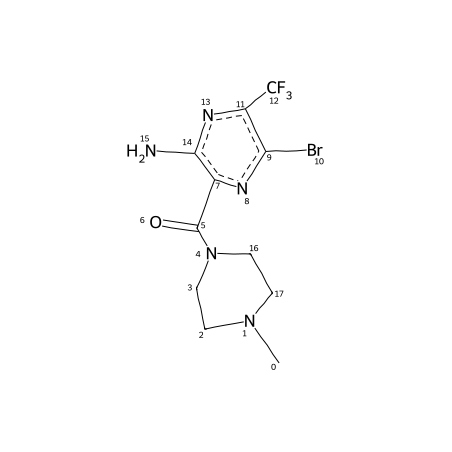 CN1CCN(C(=O)c2nc(Br)c(C(F)(F)F)nc2N)CC1